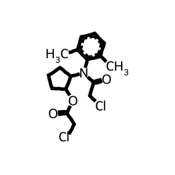 Cc1cccc(C)c1N(C(=O)CCl)C1CCCC1OC(=O)CCl